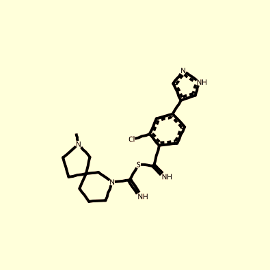 CN1CCC2(CCCN(C(=N)SC(=N)c3ccc(-c4cn[nH]c4)cc3Cl)C2)C1